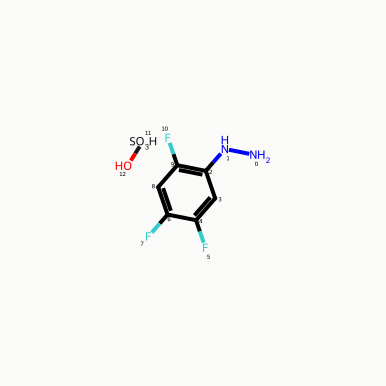 NNc1cc(F)c(F)cc1F.O=S(=O)(O)O